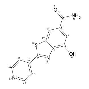 NC(=O)c1cc(O)c2nc(-c3ccncc3)sc2c1